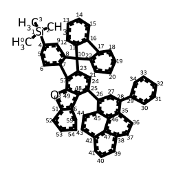 C[Si](C)(C)c1ccc2c(c1)C1(c3ccccc3-c3ccccc31)c1cc(-c3cc(-c4ccccc4)c4ccc5cccc6ccc3c4c56)c3c(oc4ccccc43)c1-2